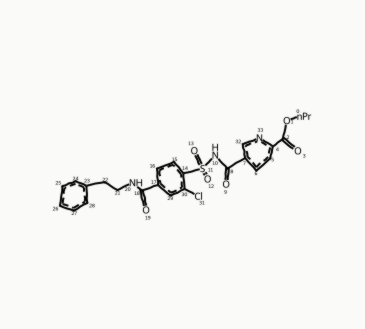 CCCOC(=O)c1ccc(C(=O)NS(=O)(=O)c2ccc(C(=O)NCCc3ccccc3)cc2Cl)cn1